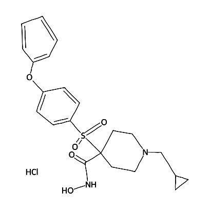 Cl.O=C(NO)C1(S(=O)(=O)c2ccc(Oc3ccccc3)cc2)CCN(CC2CC2)CC1